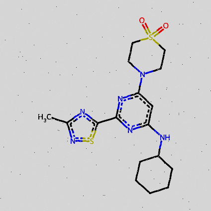 Cc1nsc(-c2nc(NC3CCCCC3)cc(N3CCS(=O)(=O)CC3)n2)n1